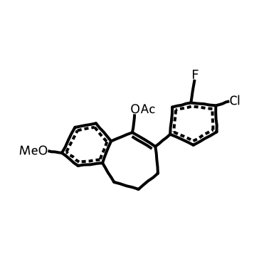 COc1ccc2c(c1)CCCC(c1ccc(Cl)c(F)c1)=C2OC(C)=O